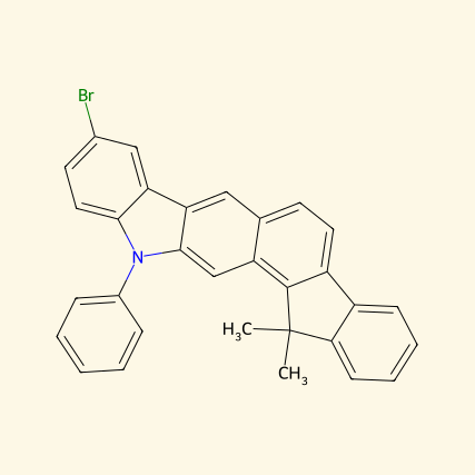 CC1(C)c2ccccc2-c2ccc3cc4c5cc(Br)ccc5n(-c5ccccc5)c4cc3c21